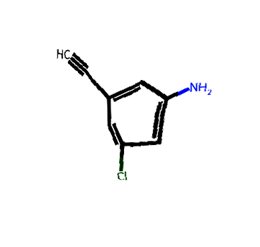 C#Cc1cc(N)cc(Cl)c1